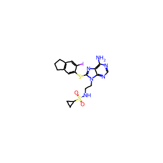 Nc1ncnc2c1nc(Sc1cc3c(cc1I)CCC3)n2CCNS(=O)(=O)C1CC1